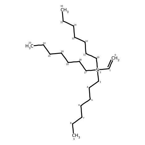 C=C[Si](CCCCCCC)(CCCCCCC)CCCCCCC